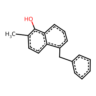 Cc1ccc2c(Cc3ccccc3)cccc2c1O